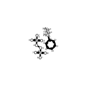 O=S(=O)([O-])OOS(=O)(=O)[O-].Oc1ccccc1.[Na+].[Na+]